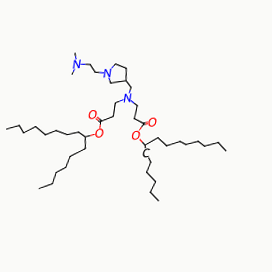 CCCCCCCCC(CCCCCC)OC(=O)CCN(CCC(=O)OC(CCCCCC)CCCCCCCC)CC1CCN(CCN(C)C)C1